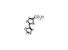 O=C(O)c1cnc(-c2cnco2)s1